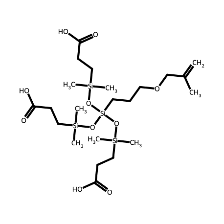 C=C(C)COCCC[Si](O[Si](C)(C)CCC(=O)O)(O[Si](C)(C)CCC(=O)O)O[Si](C)(C)CCC(=O)O